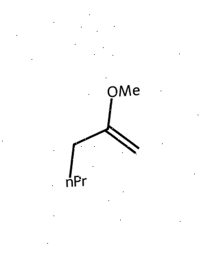 C=C(CCCC)OC